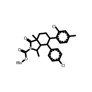 Cc1ccc(C2CCC3(C)C(=O)N(C(=O)OC(C)(C)C)C(C)C3C2c2ccc(Cl)cc2)c(Cl)c1